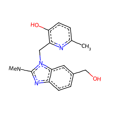 CNc1nc2ccc(CO)cc2n1Cc1nc(C)ccc1O